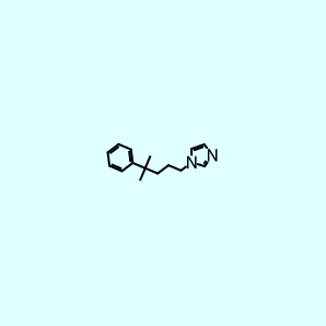 CC(C)(CCCn1ccnc1)c1ccccc1